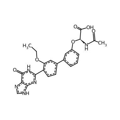 CCOc1cc(-c2cccc(O[C@H](NC(C)=O)C(=O)O)c2)ccc1-c1nc2[nH]cnc2c(=O)[nH]1